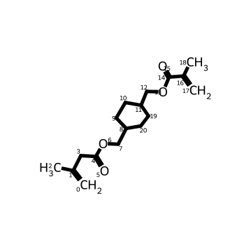 C=C(C)CC(=O)OCC1CCC(COC(=O)C(=C)C)CC1